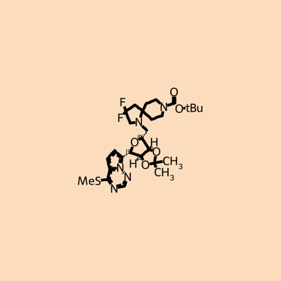 CSc1ncnn2c([C@@H]3O[C@H](CN4CC(F)(F)CC45CCN(C(=O)OC(C)(C)C)CC5)[C@H]4OC(C)(C)O[C@H]43)ccc12